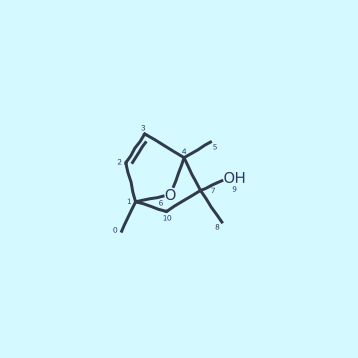 CC12C=CC(C)(O1)C(C)(O)C2